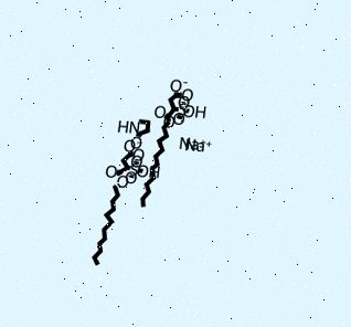 CCCCCCCCCCCCOC(=O)C(CC(=O)[O-])S(=O)(=O)O.CCCCCCCCCCCCOC(=O)C(CC(=O)[O-])S(=O)(=O)O.O=C1CCCN1.[Na+].[Na+]